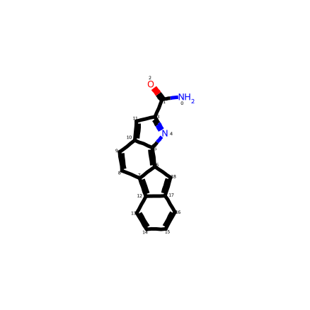 NC(=O)C1=Nc2c3c(ccc2=C1)=c1ccccc1=C3